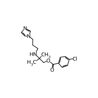 CC(C)(COC(=O)c1ccc(Cl)cc1)NCCCn1ccnc1